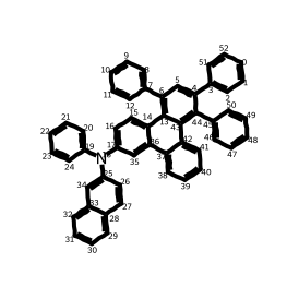 c1ccc(-c2cc(-c3ccccc3)c3c4ccc(N(c5ccccc5)c5ccc6ccccc6c5)cc4c4ccccc4c3c2-c2ccccc2)cc1